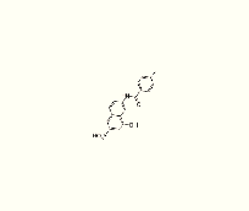 Cc1ccc(C(=O)Nc2ccc3cc(S(=O)(=O)O)cc(O)c3c2)cc1